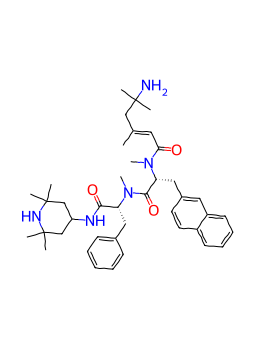 C/C(=C\C(=O)N(C)[C@H](Cc1ccc2ccccc2c1)C(=O)N(C)[C@H](Cc1ccccc1)C(=O)NC1CC(C)(C)NC(C)(C)C1)CC(C)(C)N